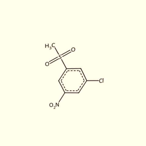 CS(=O)(=O)c1cc(Cl)cc([N+](=O)[O-])c1